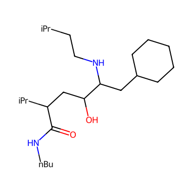 CCCCNC(=O)C(CC(O)C(CC1CCCCC1)NCCC(C)C)C(C)C